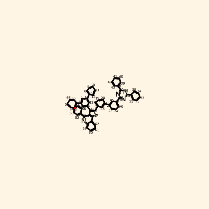 c1ccc(-c2cc(-c3ccccc3)cc(-c3c(-c4cccc(-c5cccc(-c6nc(-c7ccccc7)nc(-c7ccccc7)n6)c5)c4)sc4c3c(-c3ccccc3)nc3ccccc34)c2)cc1